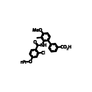 CCCOc1ccc(C(=O)Nc2c(-c3cccc(C(=O)O)c3)ccc(OC)c2C)c(Cl)c1